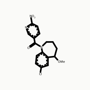 COC1CCCN(C(=O)c2ccc([N+](=O)[O-])nc2)c2ccc(Cl)cc21